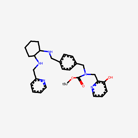 CC(C)(C)OC(=O)N(Cc1ccc(CNC2CCCCC2NCc2ccccn2)cc1)Cc1ncccc1O